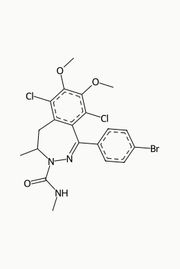 CNC(=O)N1N=C(c2ccc(Br)cc2)c2c(Cl)c(OC)c(OC)c(Cl)c2CC1C